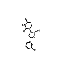 CC(C)c1cccc([C@@H]2CN(C3CCC(=O)NC3=O)C(O)O2)c1